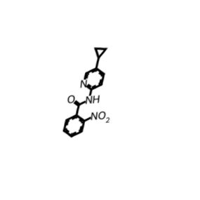 O=C(Nc1ccc(C2CC2)cn1)c1ccccc1[N+](=O)[O-]